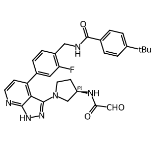 CC(C)(C)c1ccc(C(=O)NCc2ccc(-c3ccnc4[nH]nc(N5CC[C@@H](NC(=O)C=O)C5)c34)cc2F)cc1